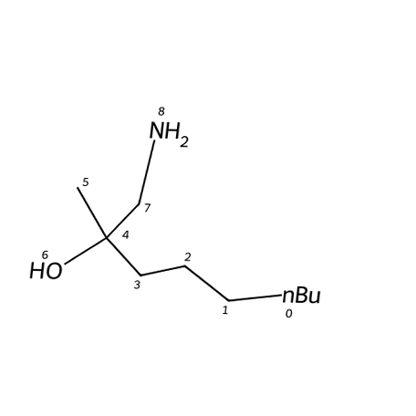 CCCCCCCC(C)(O)CN